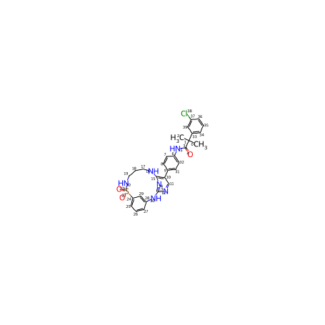 CC(C)(C(=O)Nc1ccc(-c2cnc3nc2NCCCNS(=O)(=O)c2cccc(c2)N3)cc1)c1cccc(Cl)c1